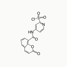 O=C(Nc1ccnc(S(=O)(=O)Cl)c1)c1cccc2ccc(=O)oc12